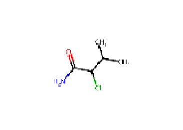 CC(C)C(Cl)C(N)=O